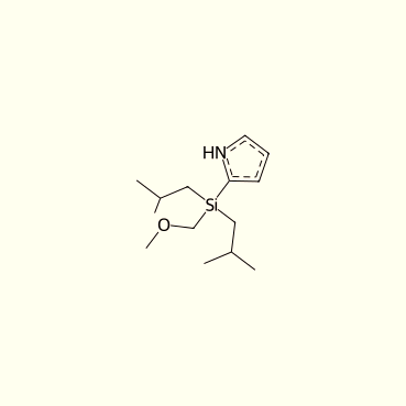 COC[Si](CC(C)C)(CC(C)C)c1ccc[nH]1